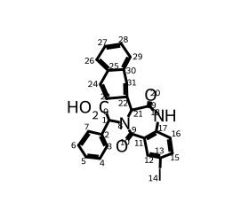 O=C(O)C(c1ccccc1)N1C(=O)c2cc(I)ccc2NC(=O)C1c1ccc2ccccc2c1